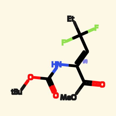 CCC(F)(F)/C=C(\NC(=O)OC(C)(C)C)C(=O)OC